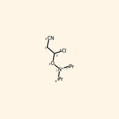 CC(C)[N+](OC(Cl)CC#N)C(C)C